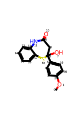 COc1ccc(C2(O)CC(=O)Nc3ccccc3S2)cc1